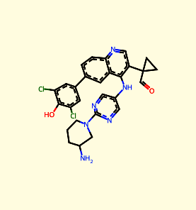 NC1CCCN(c2ncc(Nc3c(C4(C=O)CC4)cnc4ccc(-c5cc(Cl)c(O)c(Cl)c5)cc34)cn2)C1